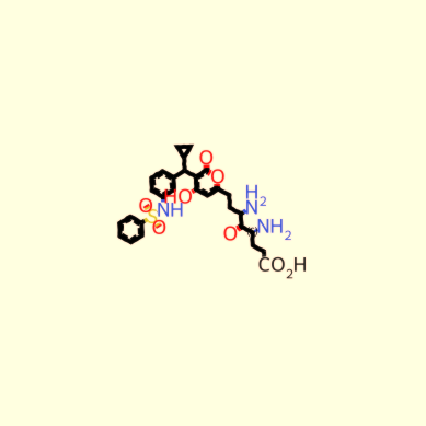 NC(CCc1cc(O)c(C(c2cccc(NS(=O)(=O)c3ccccc3)c2)C2CC2)c(=O)o1)C(=O)[C@@H](N)CCC(=O)O